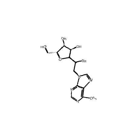 Cc1ncnc2c1ncn2CC(O)C1O[C@H](CO)[C@@H](O)[C@H]1O